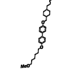 COCCCCCCOc1ccc(-c2ccc(OCC3CCC(CCF)CC3)cc2)cc1